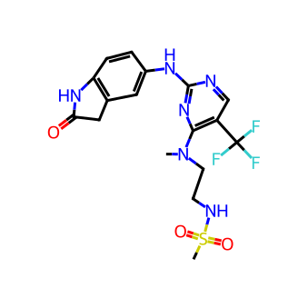 CN(CCNS(C)(=O)=O)c1nc(Nc2ccc3c(c2)CC(=O)N3)ncc1C(F)(F)F